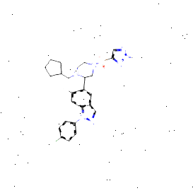 Cc1cc2c(cnn2-c2ccc(F)cc2)cc1C1CN(S(=O)(=O)c2cnn(C)n2)CCN1CC1CCCC1